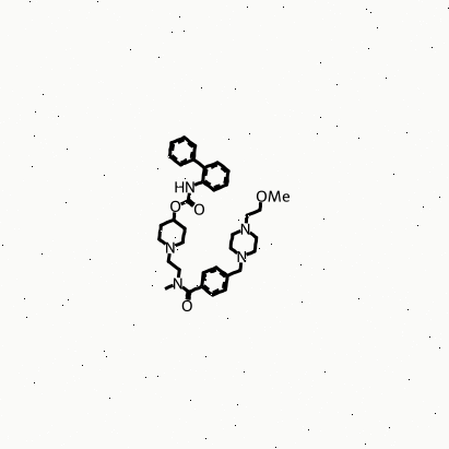 COCCN1CCN(Cc2ccc(C(=O)N(C)CCN3CCC(OC(=O)Nc4ccccc4-c4ccccc4)CC3)cc2)CC1